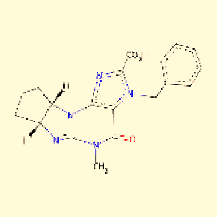 CN1C(=O)c2c(nc(C(=O)O)n2Cc2ccccc2)N2C1=N[C@@H]1CCC[C@@H]12